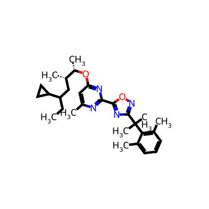 CCC(C[C@H](C)[C@H](C)Oc1cc(C)nc(-c2nc(C(C)(C)c3c(C)cccc3C)no2)n1)C1CC1